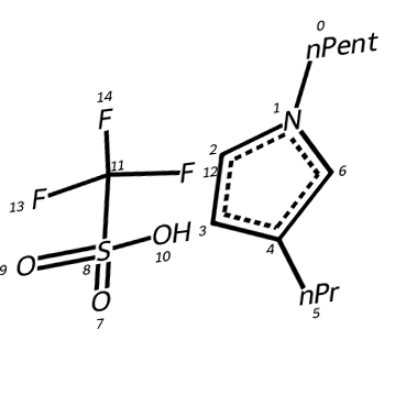 CCCCCn1ccc(CCC)c1.O=S(=O)(O)C(F)(F)F